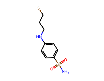 NS(=O)(=O)c1ccc(NCCCS)cc1